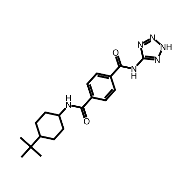 CC(C)(C)C1CCC(NC(=O)c2ccc(C(=O)Nc3nn[nH]n3)cc2)CC1